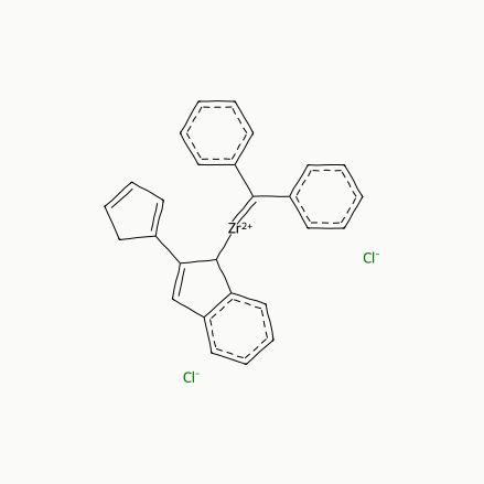 C1=CCC(C2=Cc3ccccc3[CH]2[Zr+2]=[C](c2ccccc2)c2ccccc2)=C1.[Cl-].[Cl-]